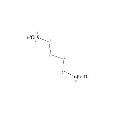 CCCCC[CH]CCCS(=O)(=O)O